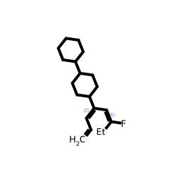 C=C/C=C(\C=C(\F)CC)C1CCC(C2CCCCC2)CC1